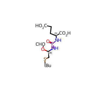 CC(C)(C)SC[C@H](N[PH](=O)N[C@@H](CCC(=O)O)C(=O)O)OC=O